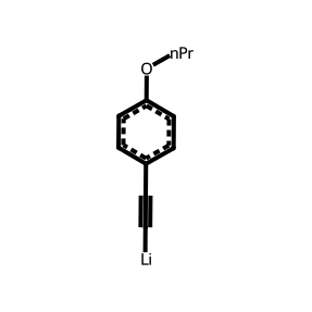 [Li][C]#Cc1ccc(OCCC)cc1